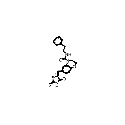 O=C1NC(=S)S/C1=C/c1ccc2c(c1)N(C(=O)NCCc1ccccc1)CCO2